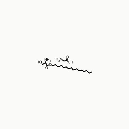 CCCCCCCCCCCCCCCCOC(=O)[C@@H](N)CO.NCC(=O)O